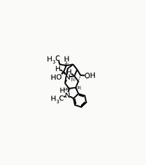 CC[C@H]1C2CC3[C@@H]4N(C)c5ccccc5[C@]45C[C@@H](C2C5O)N3[C@@H]1O